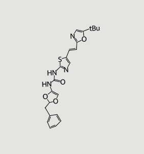 CC(C)(C)c1cnc(/C=C/c2cnc(NC(=O)NC3=COC(Cc4ccccc4)O3)s2)o1